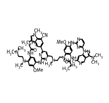 C=CC(=O)Nc1cc(Nc2nc(CN(C)CCN(C)c3cc(OC)c(Nc4nccc(-n5nc(N(C)C)c6cnc(C)cc65)n4)cc3NC(=O)C=C)cc(-c3cc(C#N)c4c(c3)c(C)cn4C)n2)c(OC)cc1N(C)CCN(C)C